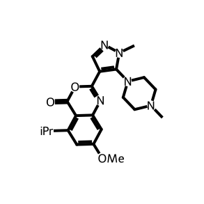 COc1cc(C(C)C)c2c(=O)oc(-c3cnn(C)c3N3CCN(C)CC3)nc2c1